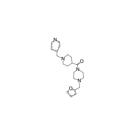 O=C(C1CCN(Cc2ccncc2)CC1)N1CCN(Cc2ccco2)CC1